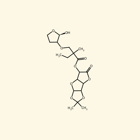 CCC(C)(COC1CCO[C@H]1O)C(=O)OC1C(=O)OC2C3OC(C)(C)OC3OC12